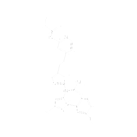 CC(C)(C)c1cc(N(C(N)=O)c2ncc(CCc3ccnc(NC(=O)CO)c3)s2)n(-c2cccc(F)c2)n1